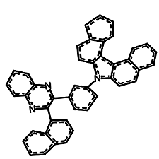 c1cc(-c2nc3ccccc3nc2-c2cccc3ccccc23)cc(-n2c3ccc4ccccc4c3c3c4ccccc4ccc32)c1